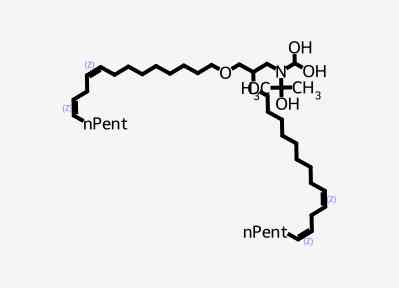 CCCCC/C=C\C/C=C\CCCCCCCCOCC(CN(C(O)O)C(C)(C)O)OCCCCCCCC/C=C\C/C=C\CCCCC